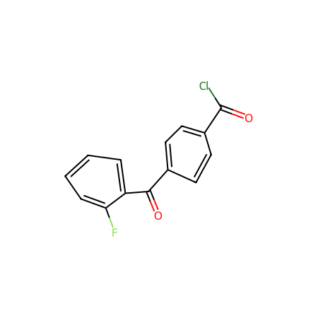 O=C(Cl)c1ccc(C(=O)c2ccccc2F)cc1